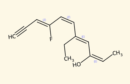 C#C/C=C(F)/C=C\C(=C\C(O)=C/C)CC